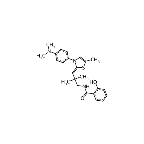 CC1=CN(c2ccc(N(C)C)cc2)C(=CC(C)(C)CNC(=O)c2ccccc2O)S1